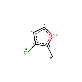 [CH2]c1occc1Cl